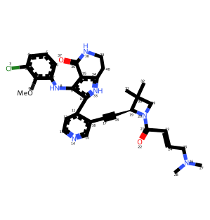 COc1c(Cl)cccc1Nc1c(-c2ccncc2C#C[C@@H]2N(C(=O)/C=C/CN(C)C)CC2(C)C)[nH]c2c1C(=O)NCC2